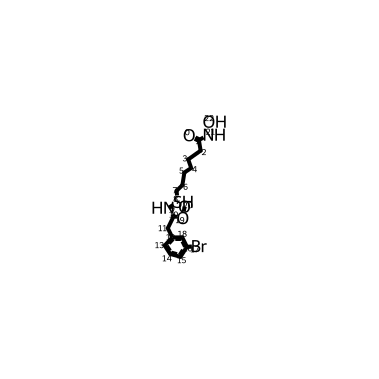 O=C(CCCCCC[SH]1NC(Cc2cccc(Br)c2)OO1)NO